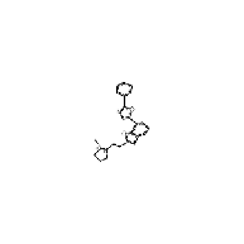 C[C@@H]1CCCN1CCc1cc2cccc(-c3cnc(-c4ccccc4)o3)c2o1